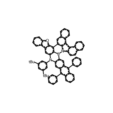 CC(C)(C)c1cc(N2c3cc4c(-c5ccccc5)c5ccccc5c(-c5ccccc5)c4cc3B3c4c2cc2c(oc5ccccc52)c4-c2cc4ccccc4c4c5c6ccccc6ccc5n3c24)cc(C(C)(C)C)c1